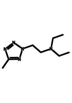 CCN(CC)CCn1nnc(C)n1